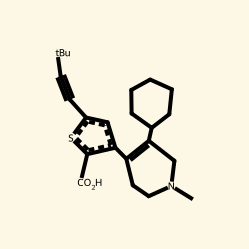 CN1CCC(c2cc(C#CC(C)(C)C)sc2C(=O)O)=C(C2CCCCC2)C1